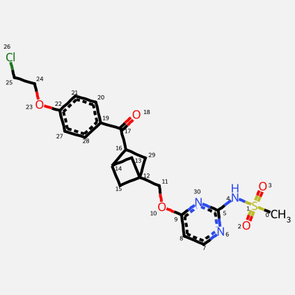 CS(=O)(=O)Nc1nccc(OCC23CC(C2)C(C(=O)c2ccc(OCCCl)cc2)C3)n1